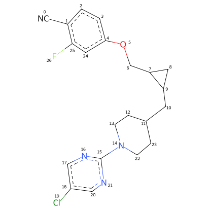 N#Cc1ccc(OCC2CC2CC2CCN(c3ncc(Cl)cn3)CC2)cc1F